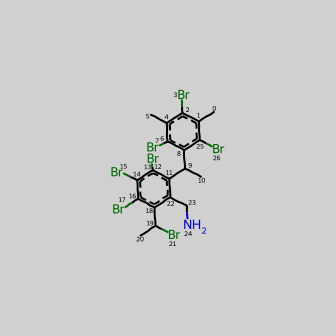 Cc1c(Br)c(C)c(Br)c(C(C)c2c(Br)c(Br)c(Br)c(C(C)Br)c2CN)c1Br